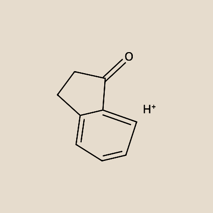 O=C1CCc2ccccc21.[H+]